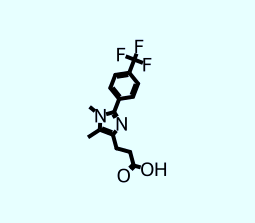 Cc1c(CCC(=O)O)nc(-c2ccc(C(F)(F)F)cc2)n1C